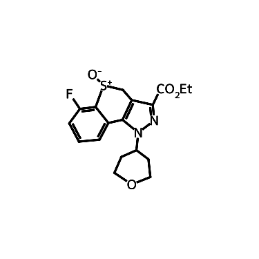 CCOC(=O)c1nn(C2CCOCC2)c2c1C[S+]([O-])c1c(F)cccc1-2